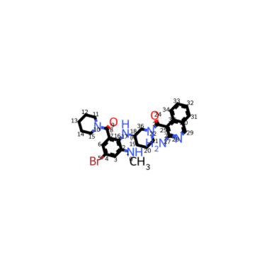 CNc1cc(Br)cc(C(=O)N2CCCCC2)c1N[C@@H]1CCCN(C(=O)c2c(N)ncc3ccccc23)C1